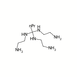 [CH2]CCC(NCCN)(NCCN)NCCN